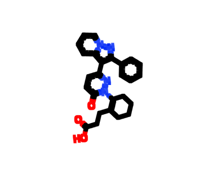 O=C(O)CCC1=C(n2nc(-c3c(-c4ccccc4)nn4ccccc34)ccc2=O)CCCC1